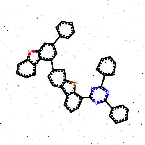 c1ccc(-c2cc(-c3ccc4c(c3)sc3c(-c5nc(-c6ccccc6)nc(-c6ccccc6)n5)cccc34)c3c(c2)oc2ccccc23)cc1